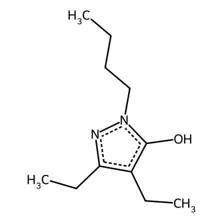 CCCCn1nc(CC)c(CC)c1O